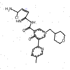 Cc1ccc(-c2cn(CC3CCOCC3)cc(C(=O)NC(=N)/C=C\C(N)Cl)c2=O)nc1